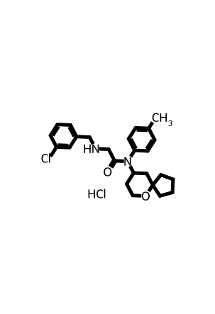 Cc1ccc(N(C(=O)CNCc2cccc(Cl)c2)C2CCOC3(CCCC3)C2)cc1.Cl